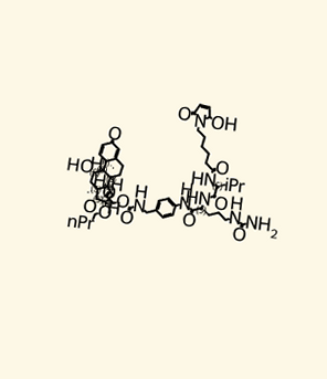 CCCC1O[C@@H]2C[C@H]3[C@@H]4CCC5=CC(=O)C=C[C@]5(C)[C@H]4[C@@H](O)C[C@]3(C)[C@]2(C(=O)COC(=O)NCc2ccc(NC(=O)[C@H](CCCNC(N)=O)NC(=O)[C@@H](NC(=O)CCCCCN3C(=O)C=CC3O)C(C)C)cc2)O1